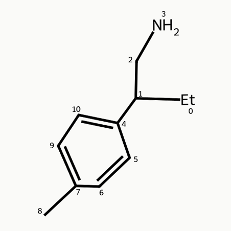 [CH2]CC(CN)c1ccc(C)cc1